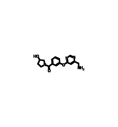 NCc1cc(Oc2cccc(C(=O)N3CCC(O)C3)c2)ncn1